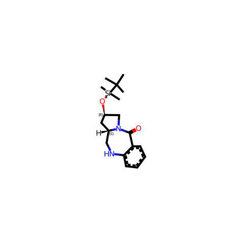 CC(C)(C)[Si](C)(C)O[C@@H]1C[C@H]2CNc3ccccc3C(=O)N2C1